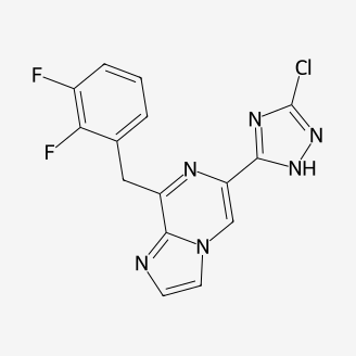 Fc1cccc(Cc2nc(-c3nc(Cl)n[nH]3)cn3ccnc23)c1F